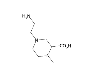 CN1CCN(CCN)CC1C(=O)O